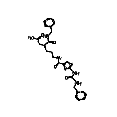 O=C(O)C[C@H](CCCNC(=O)c1csc(NC(=O)NCc2ccccc2)n1)C(=O)NCc1ccccc1